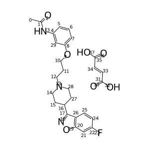 CC(=O)Nc1cccc(OCCCN2CCC(c3noc4cc(F)ccc34)CC2)c1.O=C(O)C=CC(=O)O